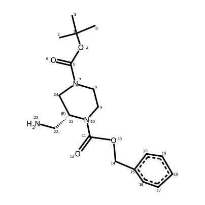 CC(C)(C)OC(=O)N1CCN(C(=O)OCc2ccccc2)[C@H](CN)C1